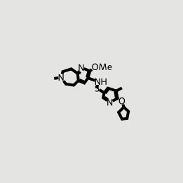 COc1nc2c(cc1NSc1cnc(OC3CCCC3)c(C)c1)CCN(C)CC2